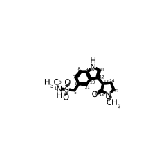 CNS(=O)(=O)Cc1ccc2[nH]cc(C3CCN(C)C3=O)c2c1